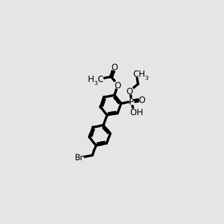 CCOP(=O)(O)c1cc(-c2ccc(CBr)cc2)ccc1OC(C)=O